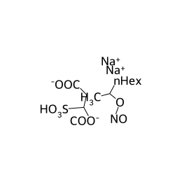 CCCCCCC(C)ON=O.O=C([O-])CC(C(=O)[O-])S(=O)(=O)O.[Na+].[Na+]